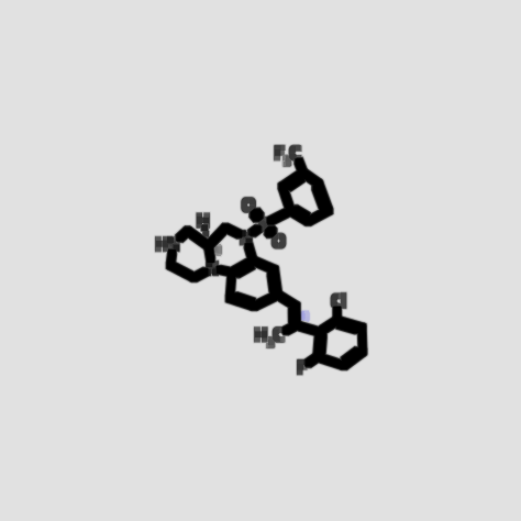 C/C(=C\c1ccc2c(c1)N(S(=O)(=O)c1cccc(C(F)(F)F)c1)C[C@@H]1CNCCN21)c1c(F)cccc1Cl